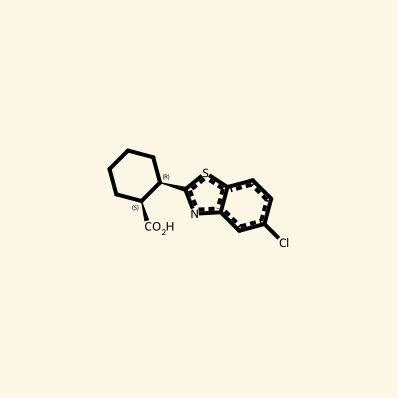 O=C(O)[C@H]1CCCC[C@H]1c1nc2cc(Cl)ccc2s1